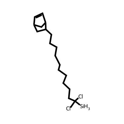 [SiH3]C(Cl)(Cl)CCCCCCCCCCC1CC2C=CC1C2